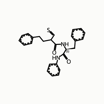 O=C(N[C@@H](Cc1ccccc1)C(=O)Nc1ccccc1)C(C=S)CCc1ccccc1